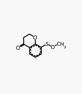 COSc1cccc2c1OCCC2=O